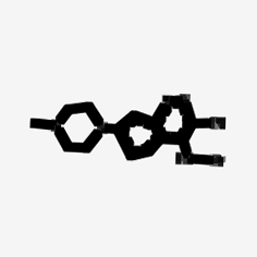 CC(C)Nc1c(C#N)nnc2cc(N3CCN(C)CC3)ccc12